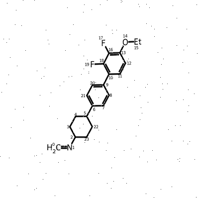 C=NC1CCC(c2ccc(-c3ccc(OCC)c(F)c3F)cc2)CC1